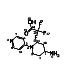 NC1CCN(c2ccncc2)CC1.O=C(O)C(F)(F)F